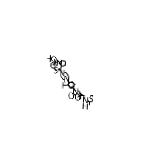 CC(=S)NCC1CN(c2ccc(N3CCN(C(=S)C4CCCN4C(=O)OC(C)(C)C)CC3)c(F)c2)C(=O)O1